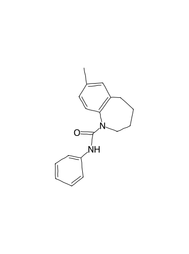 Cc1ccc2c(c1)CCCCN2C(=O)Nc1ccccc1